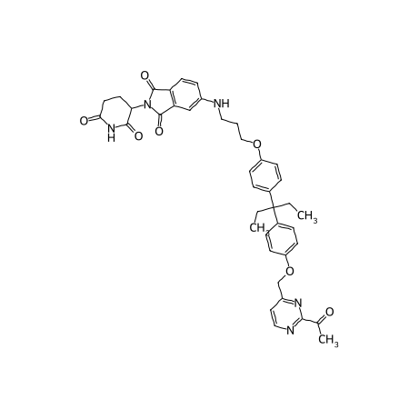 CCC(CC)(c1ccc(OCCCNc2ccc3c(c2)C(=O)N(C2CCC(=O)NC2=O)C3=O)cc1)c1ccc(OCc2ccnc(C(C)=O)n2)cc1